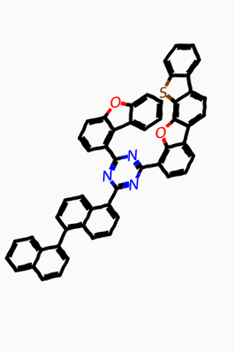 c1ccc2c(-c3cccc4c(-c5nc(-c6cccc7c6oc6c7ccc7c8ccccc8sc76)nc(-c6cccc7oc8ccccc8c67)n5)cccc34)cccc2c1